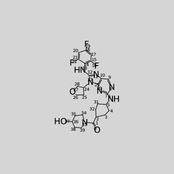 O=C(C1CCC(Nc2ncc3nc(Nc4c(F)cc(F)cc4F)n(C4CCOC4)c3n2)CC1)N1CCC(O)CC1